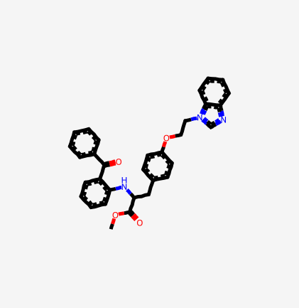 COC(=O)C(Cc1ccc(OCCn2cnc3ccccc32)cc1)Nc1ccccc1C(=O)c1ccccc1